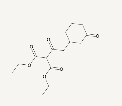 CCOC(=O)C(C(=O)CC1CCCC(=O)C1)C(=O)OCC